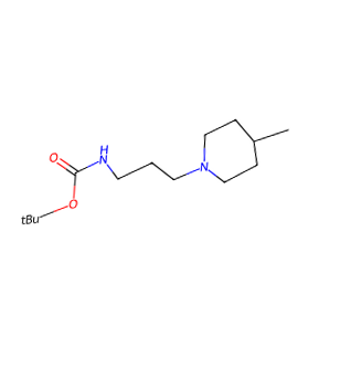 CC1CCN(CCCNC(=O)OC(C)(C)C)CC1